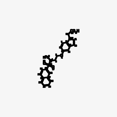 CCCN(CCOc1ccc2c(ccn2CC(=O)O)c1)S(=O)(=O)c1ccc2ccccc2c1